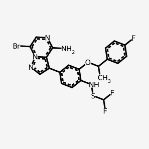 CC(Oc1cc(-c2cnn3c(Br)cnc(N)c23)ccc1NSC(F)F)c1ccc(F)cc1